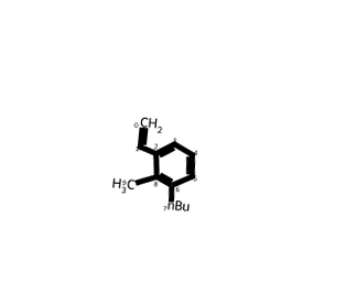 C=Cc1cccc(CCCC)c1C